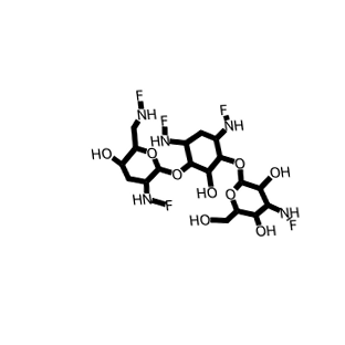 OCC1OC(OC2C(NF)CC(NF)C(OC3OC(CNF)C(O)CC3NF)C2O)C(O)C(NF)C1O